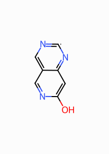 Oc1cc2n[c]ncc2cn1